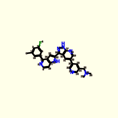 Cc1cc(F)cc(-c2nccc3[nH]c(-c4n[nH]c5ncc(-c6cncc(CN(C)C)c6)cc45)cc23)c1